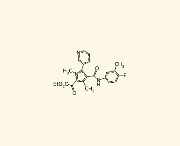 CCOC(=O)C(=O)c1c(C)c(C(=O)Nc2ccc(F)c(C)c2)c(-c2cccnc2)n1C